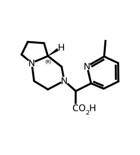 Cc1cccc(C(C(=O)O)N2CCN3CCC[C@@H]3C2)n1